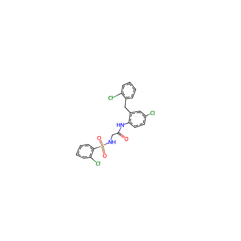 O=C(CNS(=O)(=O)c1ccccc1Cl)Nc1ccc(Cl)cc1Cc1ccccc1Cl